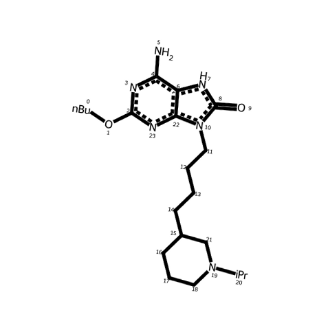 CCCCOc1nc(N)c2[nH]c(=O)n(CCCCC3CCCN(C(C)C)C3)c2n1